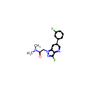 CN(C)C(=O)Cn1nc(F)c2ncc(-c3cccc(F)c3)cc21